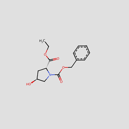 CCOC(=O)[C@H]1C[C@H](O)CN1C(=O)OCc1ccccc1